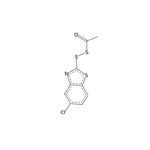 CC(=O)SSc1nc2cc(Cl)ccc2s1